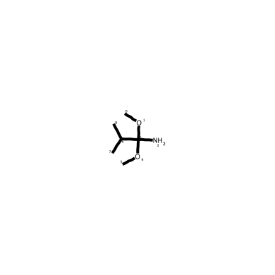 COC(N)(OC)C(C)C